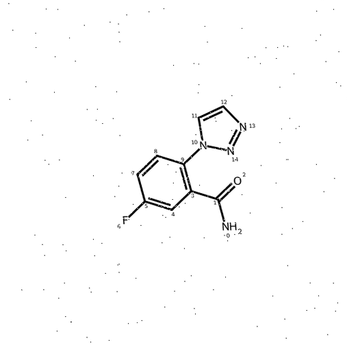 NC(=O)c1cc(F)ccc1-n1ccnn1